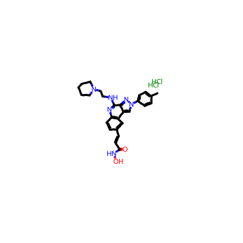 Cc1ccc(-n2cc3c(n2)c(NCCN2CCCCC2)nc2ccc(/C=C/C(=O)NO)cc23)cc1.Cl.Cl